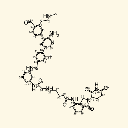 CNCCc1cc(-c2cc(-c3ccc(SNc4cccc(NC(=O)CNCCCCC(=O)Nc5cccc6c5CN(C5CCC(=O)NC5=O)C6=O)c4)cc3F)cnc2N)ccc1C=O